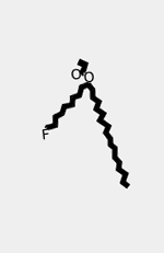 C=CC(=O)OC(CCCCCCCCCF)CCCCCCCCCCCCCCCCC